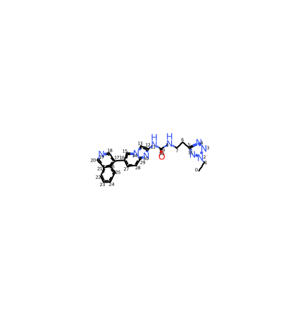 CCn1nnc(CCNC(=O)Nc2cn3cc(-c4cncc5ccccc45)ccc3n2)n1